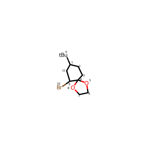 CC(C)(C)C1CCC2(OCCO2)C(Br)C1